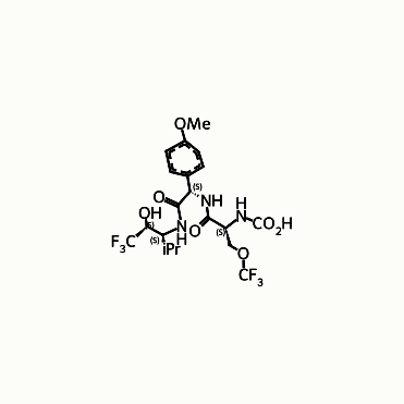 COc1ccc([C@H](NC(=O)[C@H](COC(F)(F)F)NC(=O)O)C(=O)N[C@@H](C(C)C)[C@H](O)C(F)(F)F)cc1